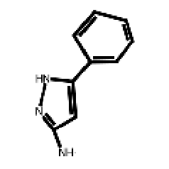 [NH]c1cc(-c2ccccc2)[nH]n1